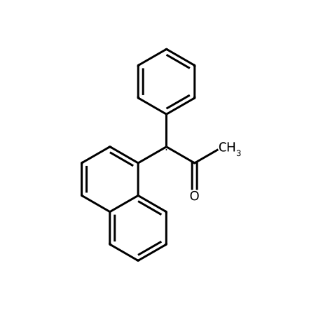 CC(=O)[C](c1ccccc1)c1cccc2ccccc12